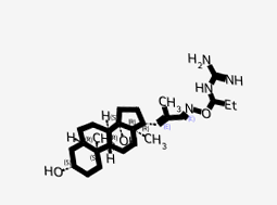 CCC(NC(=N)N)O/N=C/C(C)=C/[C@H]1CC[C@]2(O)[C@@H]3CC[C@@H]4C[C@@H](O)CC[C@]4(C)[C@H]3CC[C@]12C